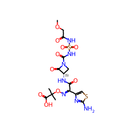 COCC(=O)NS(=O)(=O)NC(=O)N1C[C@H](NC(=O)C(=NOC(C)(C)C(=O)O)c2csc(N)n2)C1=O